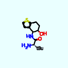 CC(C)(C)[C@H](N)C(=O)NC1c2ccsc2CC[C@H]1O